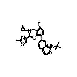 Cc1nc(C(=O)N(Cc2cc(-c3ccc4ncnc(NC(C)(C)C)c4c3)ccc2F)C2CC2)cs1